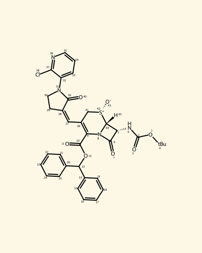 CC(C)(C)OC(=O)N[C@@H]1C(=O)N2C(C(=O)OC(c3ccccc3)c3ccccc3)=C(C=C3CCN(c4cccnc4Cl)C3=O)C[S@+]([O-])[C@H]12